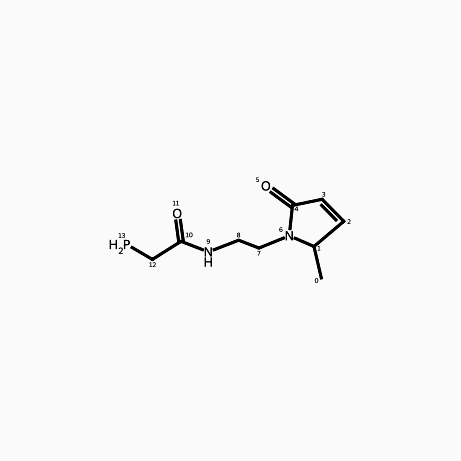 CC1C=CC(=O)N1CCNC(=O)CP